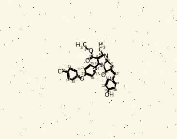 CCOC(=O)C1=C(C)N=c2s/c(=C/c3ccc(O)cc3)c(=O)n2C1c1ccc(Oc2ccc(Cl)cc2)cc1